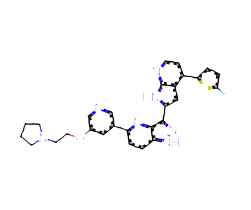 Fc1ccc(-c2ccnc3[nH]c(-c4n[nH]c5ccc(-c6cncc(OCCN7CCCC7)c6)nc45)cc23)s1